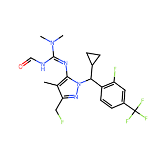 Cc1c(CF)nn(C(c2ccc(C(F)(F)F)cc2F)C2CC2)c1/N=C(\NC=O)N(C)C